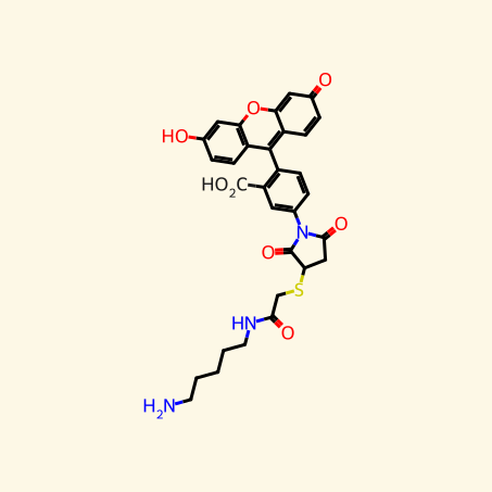 NCCCCCNC(=O)CSC1CC(=O)N(c2ccc(-c3c4ccc(=O)cc-4oc4cc(O)ccc34)c(C(=O)O)c2)C1=O